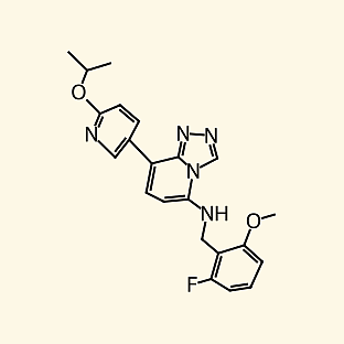 COc1cccc(F)c1CNc1ccc(-c2ccc(OC(C)C)nc2)c2nncn12